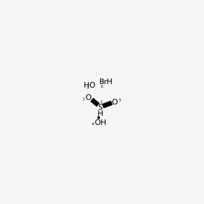 Br.O=[SH](=O)O.[OH]